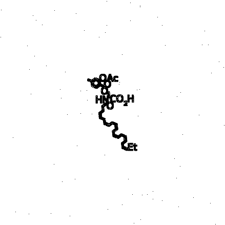 CC/C=C\C/C=C\C/C=C\C/C=C\C/C=C\C/C=C\CCC(=O)NC(COC(=O)c1ccc(C)cc1OC(C)=O)C(=O)O